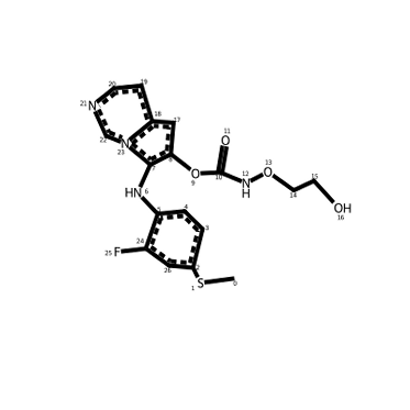 CSc1ccc(Nc2c(OC(=O)NOCCO)cc3ccncn23)c(F)c1